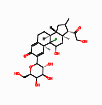 CC1C[C@H]2[C@@H]3CCC4=CC(=O)C(C5O[C@H](CO)[C@H](O)[C@H](O)[C@H]5O)=C[C@]4(C)C3(F)C(O)C[C@]2(C)[C@H]1C(=O)CO